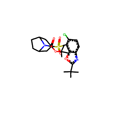 CC(C)(C)OC(=O)N1C2CCC1CC(S(=O)(=O)c1c(Cl)ccc3nc(C(C)(C)C)oc13)C2